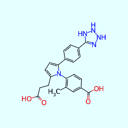 Cc1cc(C(=O)O)ccc1-n1c(CCC(=O)O)ccc1-c1ccc(C2=NNNN2)cc1